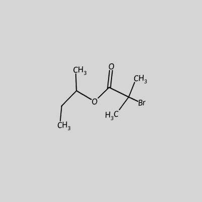 CCC(C)OC(=O)C(C)(C)Br